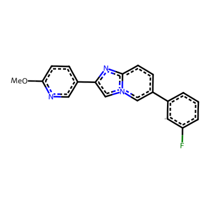 COc1ccc(-c2cn3cc(-c4[c]c(F)ccc4)ccc3n2)cn1